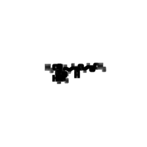 COCCONCCC[Si](OC)(OC)OC